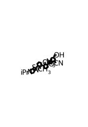 Cc1c(-c2nc3cc(CO)cc(C#N)c3o2)cccc1-c1cccc(-c2nc3c(s2)CN(C(C)C)CC3)c1C